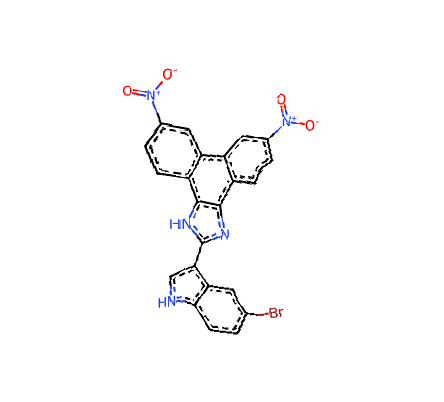 O=[N+]([O-])c1ccc2c(c1)c1cc([N+](=O)[O-])ccc1c1[nH]c(-c3c[nH]c4ccc(Br)cc34)nc21